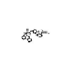 NC(=O)c1cccnc1Oc1ccc(CC(=O)Nc2nc3ccccc3n2Cc2ccccc2)cc1Cl